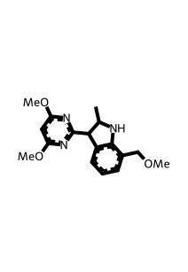 COCc1cccc2c1NC(C)C2c1nc(OC)cc(OC)n1